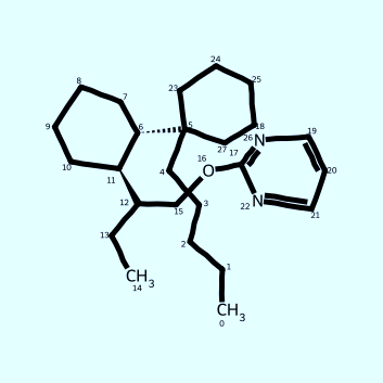 CCCCCC1([C@H]2CCCC[C@@H]2C(CC)COc2ncccn2)CCCCC1